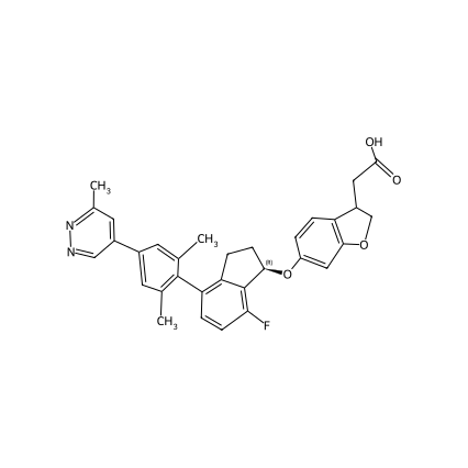 Cc1cc(-c2cc(C)c(-c3ccc(F)c4c3CC[C@H]4Oc3ccc4c(c3)OCC4CC(=O)O)c(C)c2)cnn1